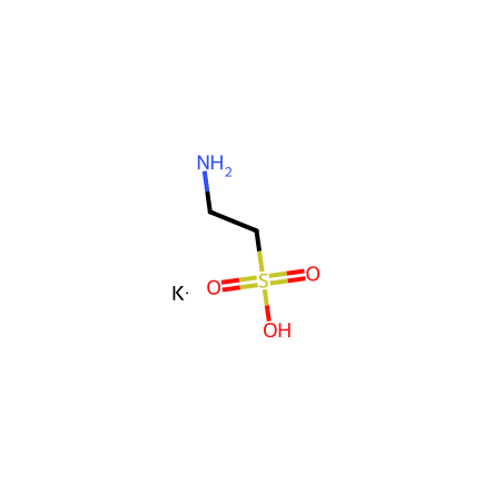 NCCS(=O)(=O)O.[K]